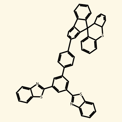 C1=CC2Sc3ccccc3C3(c4ccccc4-c4ccc(-c5ccc(-c6cc(-c7nc8ccccc8s7)cc(-c7nc8ccccc8s7)c6)cc5)cc43)C2C=C1